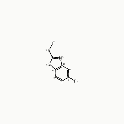 Fc1ccc2sc(SI)nc2c1